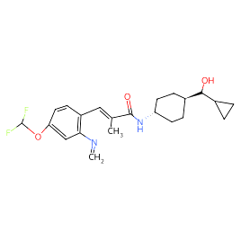 C=Nc1cc(OC(F)F)ccc1/C=C(\C)C(=O)N[C@H]1CC[C@H](C(O)C2CC2)CC1